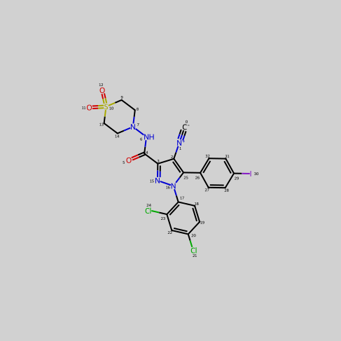 [C-]#[N+]c1c(C(=O)NN2CCS(=O)(=O)CC2)nn(-c2ccc(Cl)cc2Cl)c1-c1ccc(I)cc1